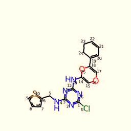 Clc1nc(NCc2cccs2)nc(NC2=COC=C(C3=CC=CCC3)O2)n1